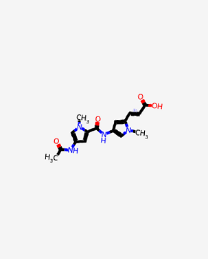 CC(=O)Nc1cc(C(=O)Nc2cc(/C=C/C(=O)O)n(C)c2)n(C)c1